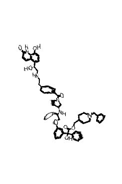 O=C(COc1cccc(C(O)(C(=O)OCC2CCN(Cc3ccccc3)CC2)c2ccccc2)c1)N[C@@H]1CCN(C(=O)c2ccc(CCNC[C@H](O)c3ccc(O)c4[nH]c(=O)ccc34)cc2)C1